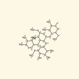 CC1OC(CO)C(OC2OC(CO)C(O)C(OC3OCC(O)C(O)C3O)C2OC2OC(CO)C(O)C(O)C2O)C(O)C1O